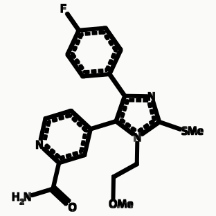 COCCn1c(SC)nc(-c2ccc(F)cc2)c1-c1ccnc(C(N)=O)c1